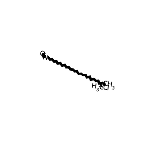 C[Si](C)(Cl)CCCCCCCCCCCCCCCCCCCCCCCCCCCN=C=O